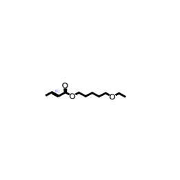 C/C=C/C(=O)OCCCCCOCC